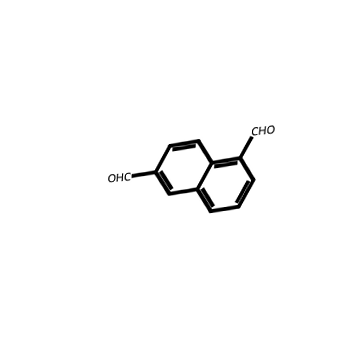 O=Cc1ccc2c(C=O)cccc2c1